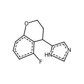 Fc1cccc2c1C(c1cnc[nH]1)CCO2